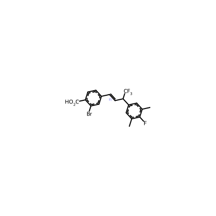 Cc1cc(C(/C=C/c2ccc(C(=O)O)c(Br)c2)C(F)(F)F)cc(C)c1F